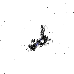 CCOC(=O)CN1CCN(C(=O)O[C@@H]2/C=C/[C@H](C)[C@@H](/C(C)=C/C=C/[C@](C)(O)C[C@H]3O[C@@H]3[C@H](C)[C@@H](O)CC)OC(=O)C[C@H](O)CC[C@@]2(C)OC(C)=O)CC1